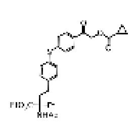 CCOC(=O)C(CC)(CCc1ccc(Sc2ccc(C(=O)COC(=O)C3CC3)cc2)cc1)NC(C)=O